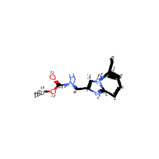 Cc1cccc2nc(CNC(=O)OC(C)(C)C)cn12